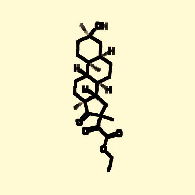 CCOC(=O)C(=O)C1(C)C[C@H]2[C@@H]3CC[C@@H]4C[C@](C)(O)CC[C@]4(C)[C@H]3CC[C@]2(C)C1=O